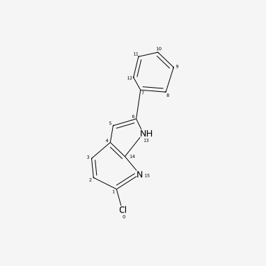 Clc1ccc2cc(-c3ccccc3)[nH]c2n1